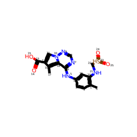 Cc1ccc(Nc2ncnn3cc(C(=O)O)c(C)c23)cc1NC[SH](=O)=O